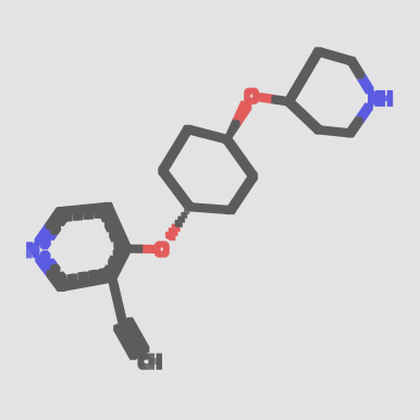 C#Cc1cnccc1O[C@H]1CC[C@H](OC2CCNCC2)CC1